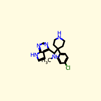 CNC(c1ncnc2[nH]ccc12)C1(c2ccc(Cl)cc2)CCNCC1